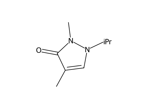 Cc1cn(C(C)C)n(C)c1=O